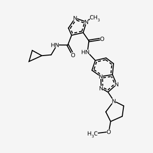 COC1CCN(c2nc3ccc(NC(=O)c4c(C(=O)NCC5CC5)cnn4C)cn3n2)C1